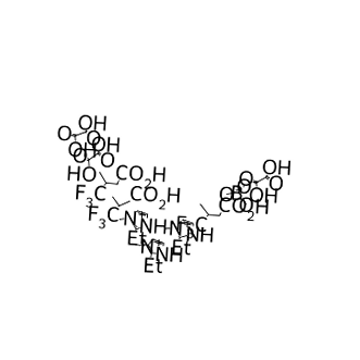 CC(CC(=O)O)C(F)(F)F.CC(CC(=O)O)C(F)(F)F.CC(CC(=O)O)C(F)(F)F.CCc1[nH]cc[n+]1C.CCc1[nH]cc[n+]1C.CCc1[nH]cc[n+]1C.O=C(O)C(=O)O.O=C(O)C(=O)O.O=C(O)C(=O)O.[O-]B([O-])[O-]